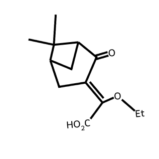 CCOC(C(=O)O)=C1CC2CC(C1=O)C2(C)C